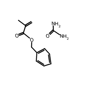 C=C(C)C(=O)OCc1ccccc1.NC(N)=O